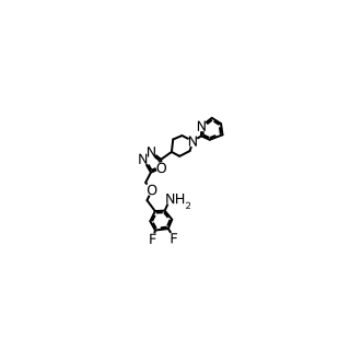 Nc1cc(F)c(F)cc1COCc1nnc(C2CCN(c3ccccn3)CC2)o1